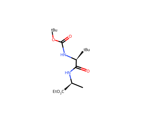 CCOC(=O)[C@H](C)NC(=O)[C@@H](NC(=O)OC(C)(C)C)C(C)(C)C